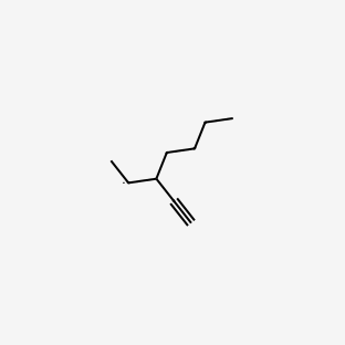 C#CC([CH]C)CCCC